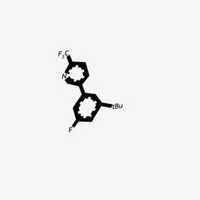 CC(C)(C)c1cc(F)cc(-c2ccc(C(F)(F)F)nc2)c1